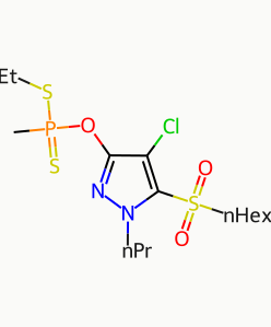 CCCCCCS(=O)(=O)c1c(Cl)c(OP(C)(=S)SCC)nn1CCC